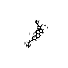 CCOC(O)COC1CCC2(C)C(=CCC3C2CCC2(C)C(C(C)CCCC(C)C)CCC32)C1